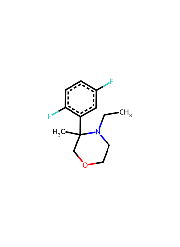 CCN1CCOCC1(C)c1cc(F)ccc1F